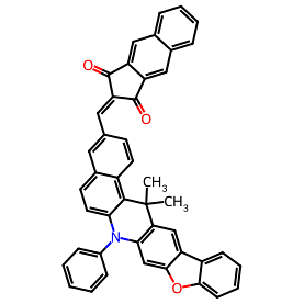 CC1(C)c2cc3c(cc2N(c2ccccc2)c2ccc4cc(C=C5C(=O)c6cc7ccccc7cc6C5=O)ccc4c21)oc1ccccc13